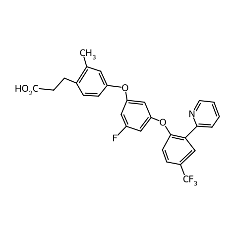 Cc1cc(Oc2cc(F)cc(Oc3ccc(C(F)(F)F)cc3-c3ccccn3)c2)ccc1CCC(=O)O